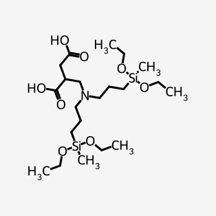 CCO[Si](C)(CCCN(CCC[Si](C)(OCC)OCC)CC(CC(=O)O)C(=O)O)OCC